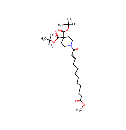 COC(=O)CCCCCCCCC=CC(=O)N1CCC(C(=O)OC(C)(C)C)(C(=O)OC(C)(C)C)CC1